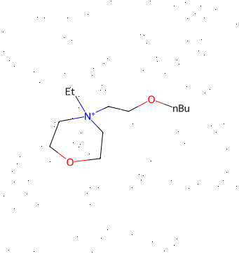 CCCCOCC[N+]1(CC)CCOCC1